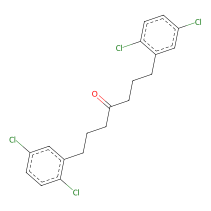 O=C(CCCc1cc(Cl)ccc1Cl)CCCc1cc(Cl)ccc1Cl